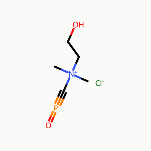 C[N+](C)(C#P=O)CCO.[Cl-]